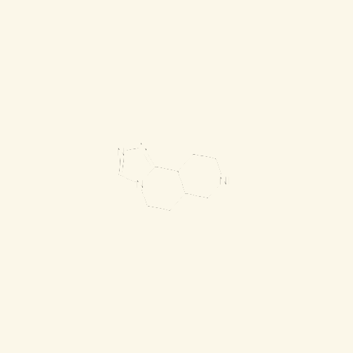 c1nnc2n1CCC1CNCCC21